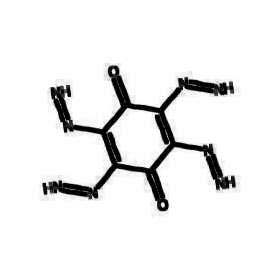 N=NC1=C(N=N)C(=O)C(N=N)=C(N=N)C1=O